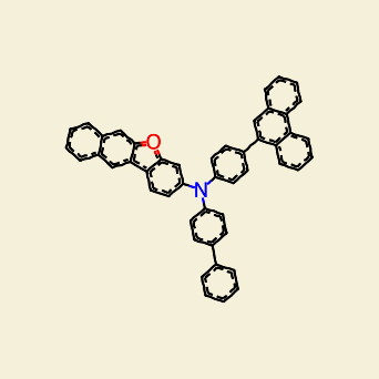 c1ccc(-c2ccc(N(c3ccc(-c4cc5ccccc5c5ccccc45)cc3)c3ccc4c(c3)oc3cc5ccccc5cc34)cc2)cc1